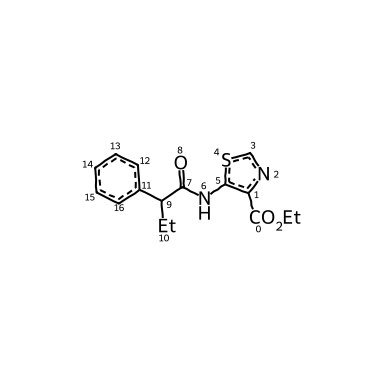 CCOC(=O)c1ncsc1NC(=O)C(CC)c1ccccc1